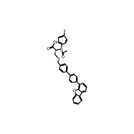 CC(=O)N(c1ccc(F)cc1)[C@@H](CSCc1ccc(-c2ccc(-c3cccc4c3oc3ccccc34)cc2)cc1)C(=O)O